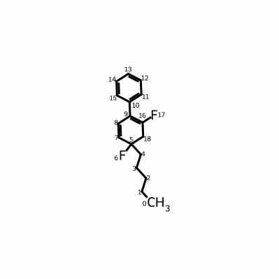 CCCCCC1(F)C=CC(c2ccccc2)=C(F)C1